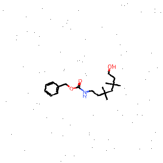 CC(C)(CCO)CC(C)(C)CCNC(=O)OCc1ccccc1